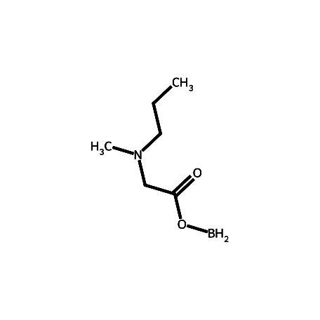 BOC(=O)CN(C)CCC